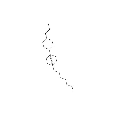 CCCCCCCC12CCC([C@H]3CC[C@H](CCC)CC3)(CC1)CC2